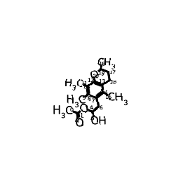 CC(=O)OC(O)Cc1c(C)c(C)c2c(c1C)CCC(C)O2